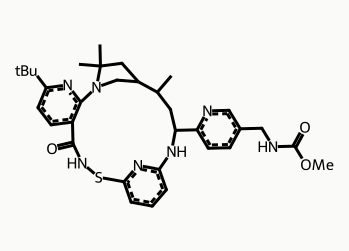 COC(=O)NCc1ccc(C2CC(C)C3CN(c4nc(C(C)(C)C)ccc4C(=O)NSc4cccc(n4)N2)C(C)(C)C3)nc1